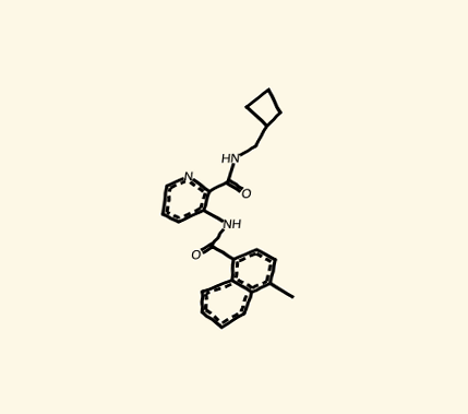 Cc1ccc(C(=O)Nc2cccnc2C(=O)NCC2CCC2)c2ccccc12